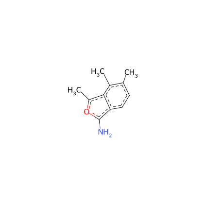 Cc1ccc2c(N)oc(C)c2c1C